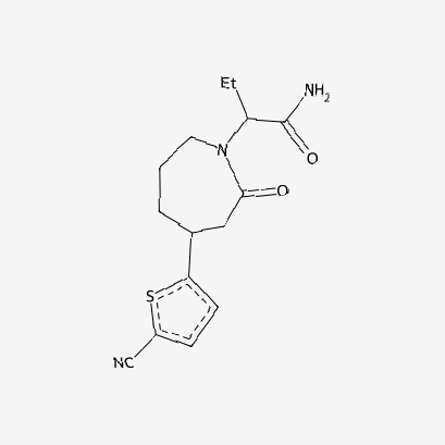 CCC(C(N)=O)N1CCCC(c2ccc(C#N)s2)CC1=O